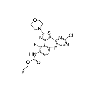 C=CCOC(=O)Nc1ccc(F)c(-c2nc(N3CCOCC3)sc2-c2ccnc(Cl)n2)c1F